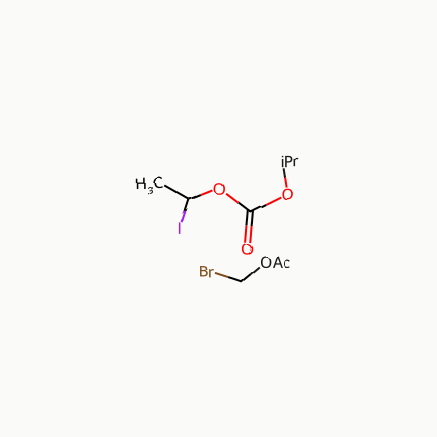 CC(=O)OCBr.CC(C)OC(=O)OC(C)I